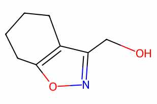 OCc1noc2c1CCCC2